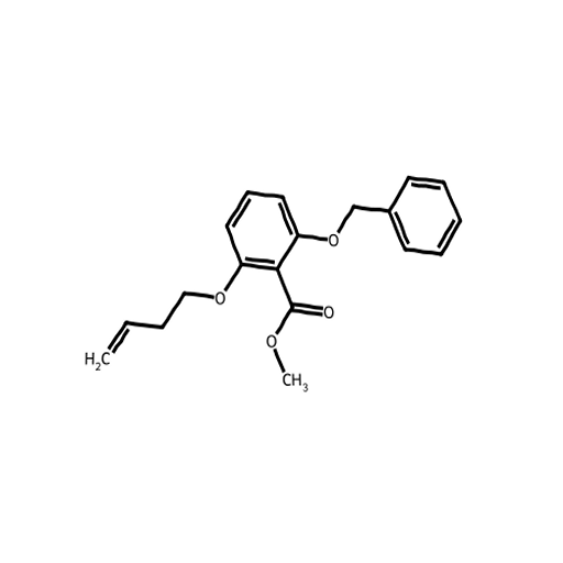 C=CCCOc1cccc(OCc2ccccc2)c1C(=O)OC